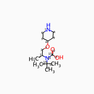 C[C@@H](COC1CCNCC1)N(C(=O)O)C(C)(C)C